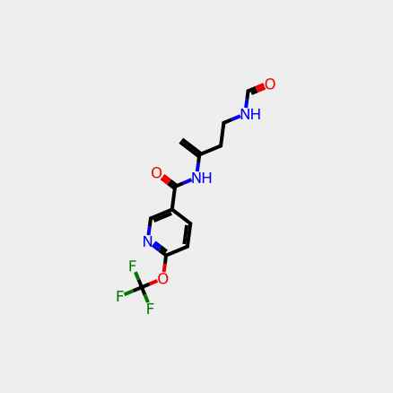 C=C(CCNC=O)NC(=O)c1ccc(OC(F)(F)F)nc1